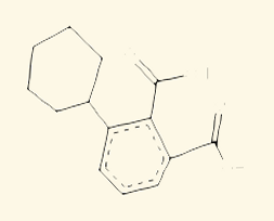 O=C(O)c1cccc(C2CCCCC2)c1C(=O)O